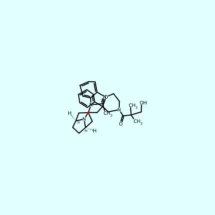 Cc1nc2ccccc2n1C1C[C@H]2CC[C@@H](C1)N2CCC1(c2ccccc2)CN(C(=O)C(C)(C)CO)CCO1